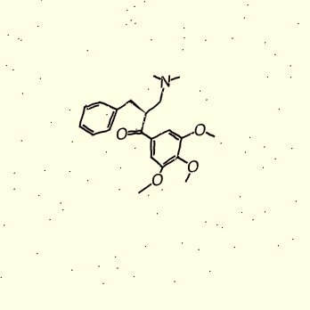 COc1cc(C(=O)[C@@H](Cc2ccccc2)CN(C)C)cc(OC)c1OC